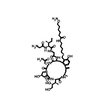 C=C1C[C@@H](C)NC(=O)[C@H]([C@@H](C)[C@@H](O)CO)NC(=O)[C@@H]2C[C@@H](O)CN2C(=O)[C@H](CC(N)=O)NC(=O)C(NC(=O)CNC(=O)[C@@H](NC(=O)CN)[C@@H](C)CC)Cc2c1ccc(O)c2CSCCCCNC(=O)CCCCCON